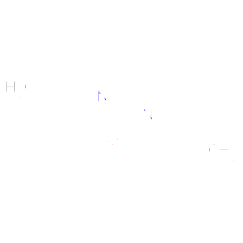 C=C/C=N/C(=O)/N=C/C=C